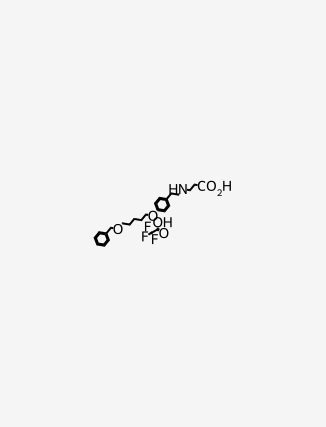 O=C(O)C(F)(F)F.O=C(O)CCNCCc1ccc(OCCCCCOCc2ccccc2)cc1